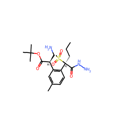 CCC[C@](C(=O)NN)(c1ccc(C)cc1[C@H](CN)C(=O)OC(C)(C)C)S(C)(=O)=O